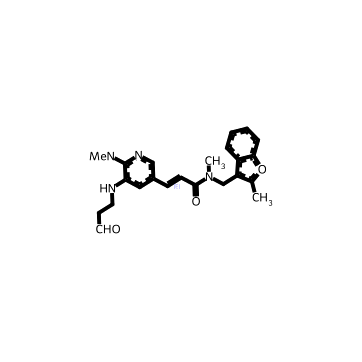 CNc1ncc(/C=C/C(=O)N(C)Cc2c(C)oc3ccccc23)cc1NCCC=O